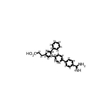 N=C(N)c1ccc(-c2ccc(-n3cc(CCC(=O)O)nc3-c3ccccc3)nn2)cc1